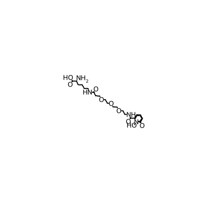 N[C@@H](CCCCNC(=O)CCOCCOCCOCCNC(=O)c1cccc(=O)n1O)C(=O)O